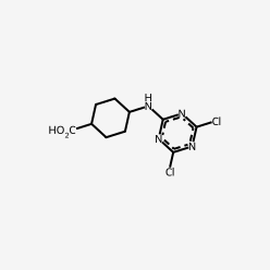 O=C(O)C1CCC(Nc2nc(Cl)nc(Cl)n2)CC1